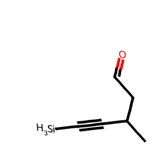 CC(C#C[SiH3])CC=O